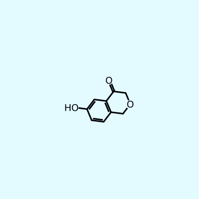 O=C1COCc2ccc(O)cc21